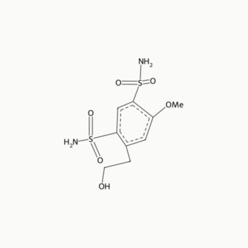 COc1cc(CCO)c(S(N)(=O)=O)cc1S(N)(=O)=O